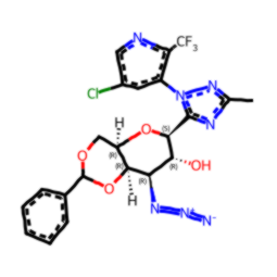 Cc1nc([C@@H]2O[C@@H]3COC(c4ccccc4)O[C@@H]3[C@H](N=[N+]=[N-])[C@H]2O)n(-c2cc(Cl)cnc2C(F)(F)F)n1